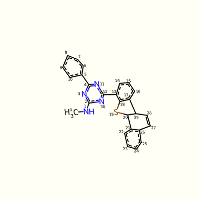 CNc1nc(-c2ccccc2)nc(-c2cccc3c2SC2c4ccccc4C=CC32)n1